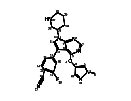 Cn1cc(Oc2ncnc3c2c(-c2ccc(C#N)c(F)c2)cn3C2CCCNC2)cn1